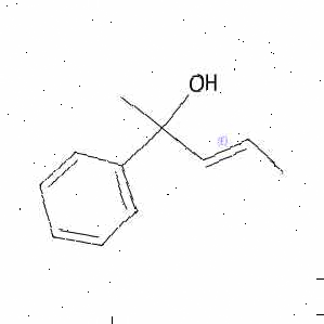 C/C=C/C(C)(O)c1ccccc1